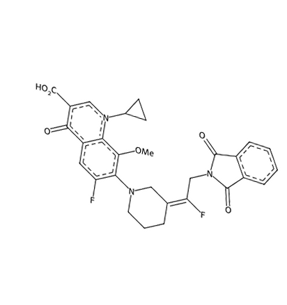 COc1c(N2CCC/C(=C(\F)CN3C(=O)c4ccccc4C3=O)C2)c(F)cc2c(=O)c(C(=O)O)cn(C3CC3)c12